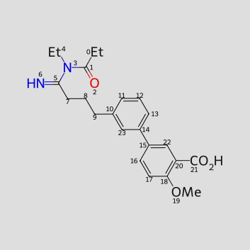 CCC(=O)N(CC)C(=N)CCCc1cccc(-c2ccc(OC)c(C(=O)O)c2)c1